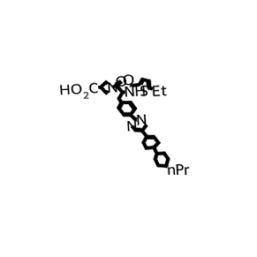 CCCC1CCC(C2CC=C(c3cnc(-c4ccc(CC(NC(=O)c5ccc(CC)s5)C(=O)N5CC(C(=O)O)C5)cc4)nc3)CC2)CC1